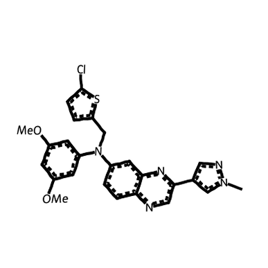 COc1cc(OC)cc(N(Cc2ccc(Cl)s2)c2ccc3ncc(-c4cnn(C)c4)nc3c2)c1